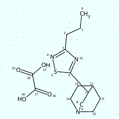 CCCc1nsc(C2CN3CCC2CC3)n1.O=C(O)C(=O)O